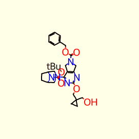 CC(C)(C)OC(=O)N1C2CCC1CN(c1nc(OCC3(CO)CC3)nc3c1CN(C(=O)OCc1ccccc1)C3)C2